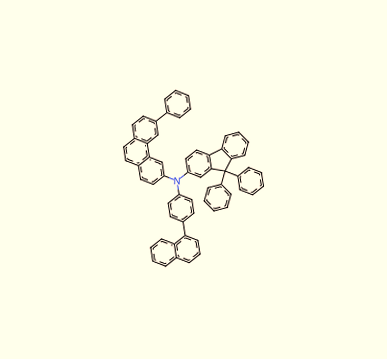 c1ccc(-c2ccc3ccc4ccc(N(c5ccc(-c6cccc7ccccc67)cc5)c5ccc6c(c5)C(c5ccccc5)(c5ccccc5)c5ccccc5-6)cc4c3c2)cc1